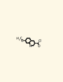 COc1ccc2cc(C(=O)Cl)cnc2c1